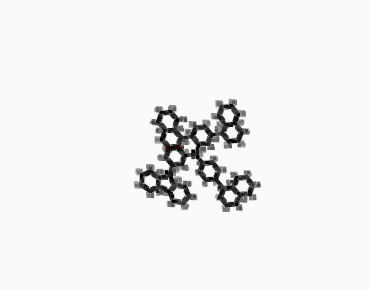 c1cc(N(c2ccc(-c3cccc4ccccc34)cc2)c2cc(-c3cccc4ccccc34)ccc2-c2cccc3ccccc23)cc(-n2c3ccccc3c3ccccc32)c1